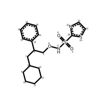 O=S(=O)(NOCC(CC1CCCCC1)c1ccccc1)c1nccs1